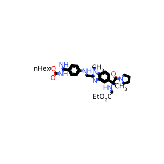 CCCCCCOC(=O)NC(=N)c1ccc(NCc2nc3cc(C(C)(NCC(=O)OCC)C(=O)N4CCCC4)ccc3n2C)cc1